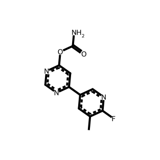 Cc1cc(-c2cc(OC(N)=O)ncn2)cnc1F